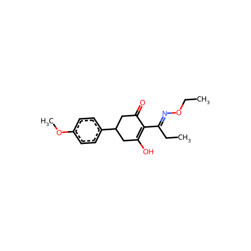 CCON=C(CC)C1=C(O)CC(c2ccc(OC)cc2)CC1=O